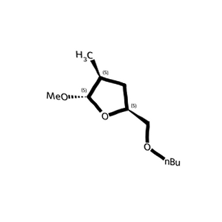 CCCCOC[C@@H]1C[C@H](C)[C@@H](OC)O1